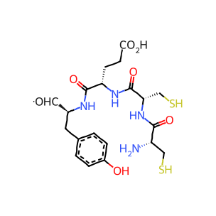 N[C@@H](CS)C(=O)N[C@@H](CS)C(=O)N[C@@H](CCC(=O)O)C(=O)N[C@H]([C]=O)Cc1ccc(O)cc1